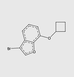 Brc1coc2c(OC3CCC3)cccc12